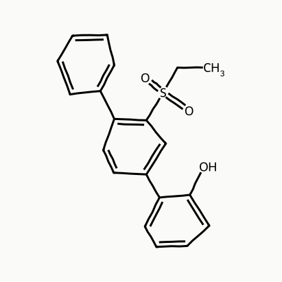 CCS(=O)(=O)c1cc(-c2ccccc2O)ccc1-c1ccccc1